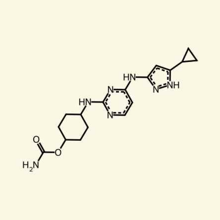 NC(=O)OC1CCC(Nc2nccc(Nc3cc(C4CC4)[nH]n3)n2)CC1